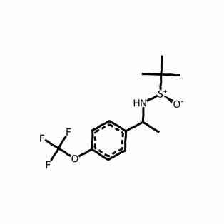 CC(N[S@+]([O-])C(C)(C)C)c1ccc(OC(F)(F)F)cc1